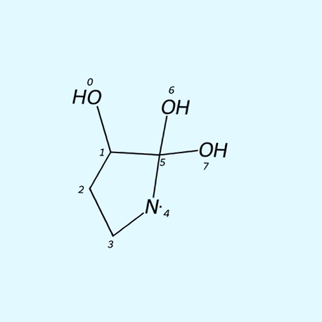 OC1CC[N]C1(O)O